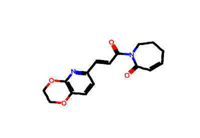 O=C1C=CCCCN1C(=O)C=Cc1ccc2c(n1)OCCO2